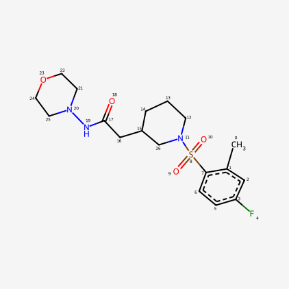 Cc1cc(F)ccc1S(=O)(=O)N1CCCC(CC(=O)NN2CCOCC2)C1